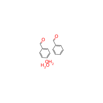 O.O.O=Cc1ccccc1.O=Cc1ccccc1